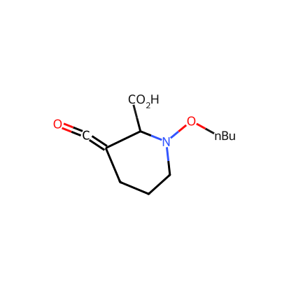 CCCCON1CCCC(=C=O)C1C(=O)O